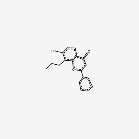 CCCc1c(O)ccc2c(=O)cc(-c3ccccc3)oc12